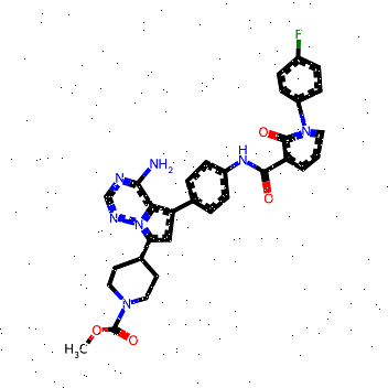 COC(=O)N1CCC(c2cc(-c3ccc(NC(=O)c4cccn(-c5ccc(F)cc5)c4=O)cc3)c3c(N)ncnn23)CC1